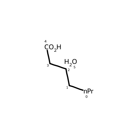 CCCCCCC(=O)O.O